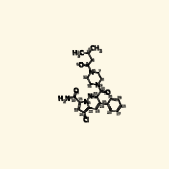 CC(C)CC(=O)N1CCN(C(=O)c2nn3c(C(N)=O)cc(Cl)c3cc2-c2ccccc2)CC1